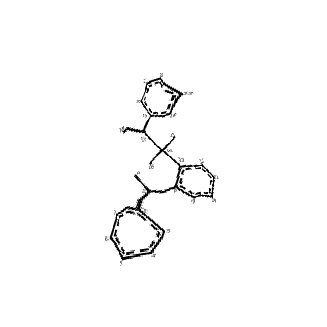 CC(c1ccccc1)c1ccccc1C(C)(C)C(C)c1ccccc1